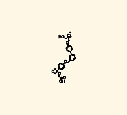 O=C(O)COC1(c2ccc(OCc3cccc(-c4ccc(OCC5(CO)COC5)cc4)c3)cc2)COC1